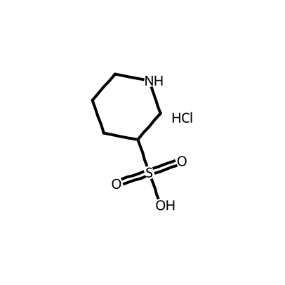 Cl.O=S(=O)(O)C1CCCNC1